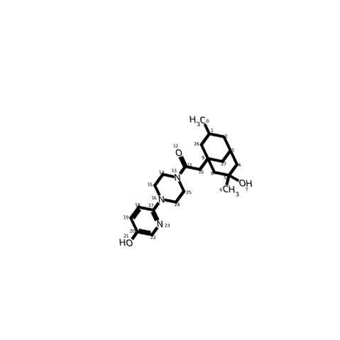 CC1CC2CC(C)(O)CC(CC(=O)N3CCN(c4ccc(O)cn4)CC3)(C1)C2